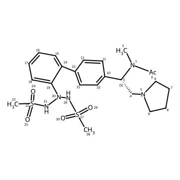 CC(=O)N(C)[C@H](CN1CCCC1)c1ccc(-c2ccccc2N(NS(C)(=O)=O)NS(C)(=O)=O)cc1